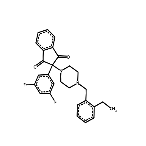 CCc1ccccc1CN1CCN(C2(c3cc(F)cc(F)c3)C(=O)c3ccccc3C2=O)CC1